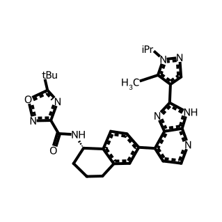 Cc1c(-c2nc3c(-c4ccc5c(c4)CCC[C@@H]5NC(=O)c4noc(C(C)(C)C)n4)ccnc3[nH]2)cnn1C(C)C